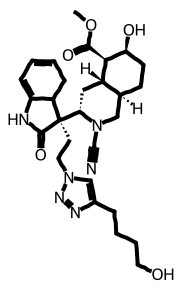 COC(=O)[C@@H]1[C@H]2C[C@@H]([C@@]3(CCn4cc(CCCCO)nn4)C(=O)NC4=CC=CCC43)N(C#N)C[C@@H]2CC[C@@H]1O